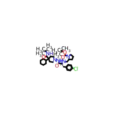 CC(C)(C)NC(=O)C1(C2CCCCC2)CCN(NC(=O)[C@@H](Cc2ccc(Cl)cc2)NCC2CCCN2C(=O)OC(C)(C)C)CC1